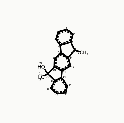 CC1c2ccccc2-c2cc3c(cc21)-c1ccccc1C3(C)O